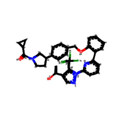 C=C(O)c1cnn(-c2cccc(-c3ccccc3OCc3ccc(C4CCN(C(=O)C5CC5)C4)cc3)n2)c1C(F)(F)F